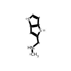 CNCc1cc2sccc2s1